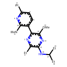 CCc1nc(-c2ccc(C(C)C)nc2NC)c(OC)nc1NC(CC)CC